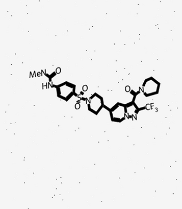 CNC(=O)Nc1ccc(S(=O)(=O)N2CCC(c3ccn4nc(C(F)(F)F)c(C(=O)N5CCCCC5)c4c3)CC2)cc1